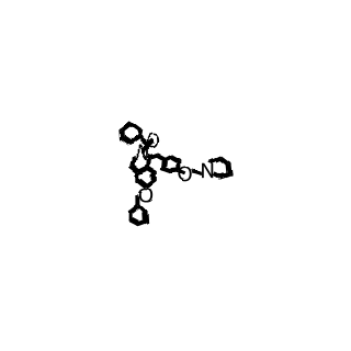 O=C(C1CCCCC1)N1CCc2cc(OCc3ccccc3)ccc2C1Cc1ccc(OCCN2CCCCC2)cc1